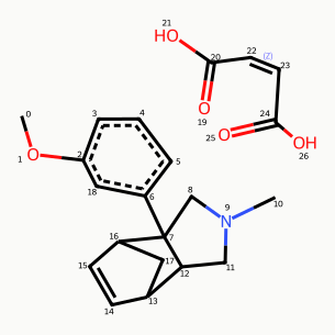 COc1cccc(C23CN(C)CC2C2C=CC3C2)c1.O=C(O)/C=C\C(=O)O